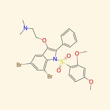 COc1ccc(S(=O)(=O)n2c(-c3ccccc3)c(OCCN(C)C)c3cc(Br)cc(Br)c32)c(OC)c1